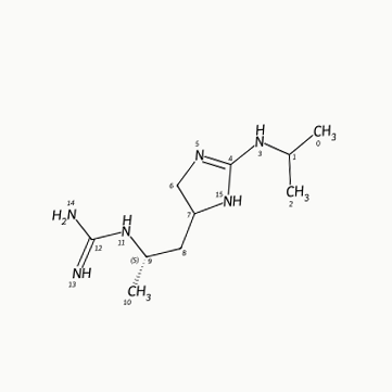 CC(C)NC1=NCC(C[C@H](C)NC(=N)N)N1